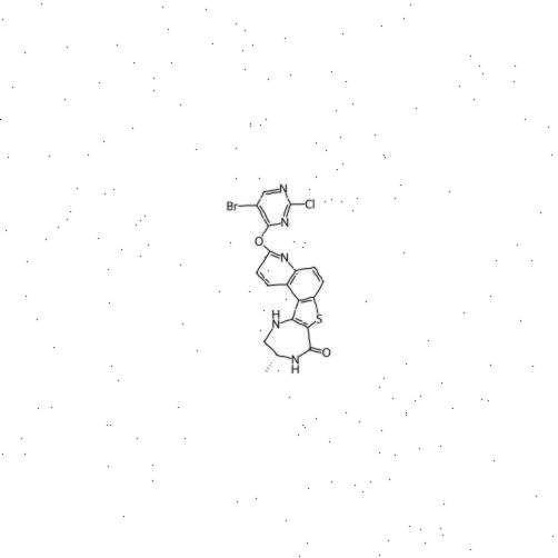 C[C@@H]1CNc2c(sc3ccc4nc(Oc5nc(Cl)ncc5Br)ccc4c23)C(=O)N1